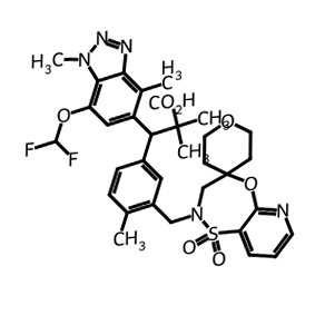 Cc1ccc(C(c2cc(OC(F)F)c3c(nnn3C)c2C)C(C)(C)C(=O)O)cc1CN1CC2(CCOCC2)Oc2ncccc2S1(=O)=O